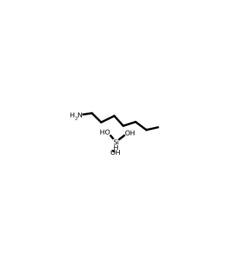 CCCCCCCN.O[SiH](O)O